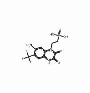 Nc1cc2c(cc1C(F)(F)F)[nH]c(=O)c(=O)n2CCP(=O)(O)O